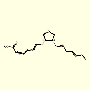 CCC=CCOC[C@H]1COC[C@H]1CC=CC/C=C\C(=O)O